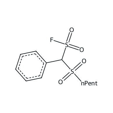 CCCCCS(=O)(=O)C(c1ccccc1)S(=O)(=O)F